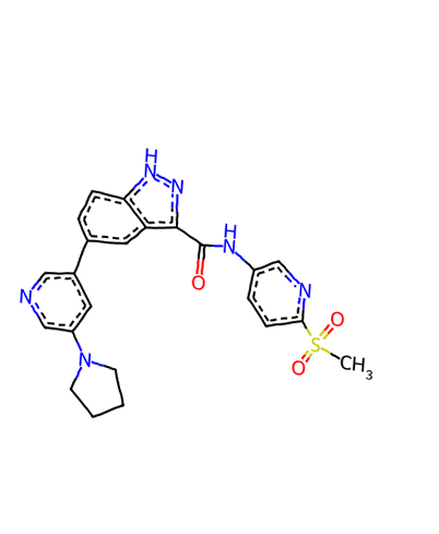 CS(=O)(=O)c1ccc(NC(=O)c2n[nH]c3ccc(-c4cncc(N5CCCC5)c4)cc23)cn1